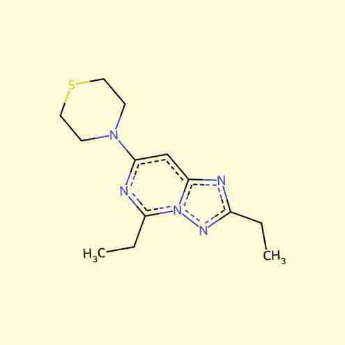 CCc1nc2cc(N3CCSCC3)nc(CC)n2n1